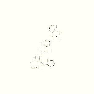 O=C/C(=N\C1(NCC(=O)Nc2cc3c(cn2)CC2(C3)C(=O)Nc3ncccc32)CCCCCC1)c1ccccn1